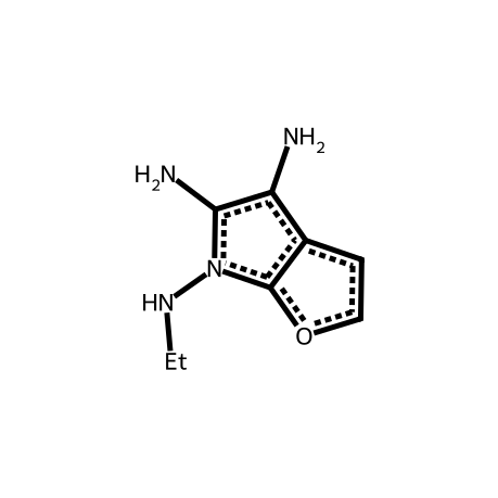 CCNn1c(N)c(N)c2ccoc21